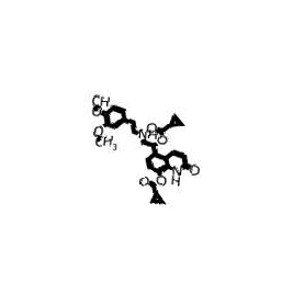 COc1ccc(CCNCC(OC(=O)C2CC2)c2ccc(OC(=O)C3CC3)c3[nH]c(=O)ccc23)cc1OC